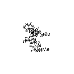 CNc1nc(C)nc2c1ncn2[C@@H]1O[C@](CCl)(COP(=S)(N[C@@H](C)C(=O)OCC(C)(C)C)Oc2cccc3ccccc23)[C@@H](O)[C@H]1F